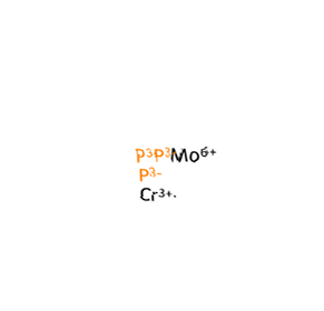 [Cr+3].[Mo+6].[P-3].[P-3].[P-3]